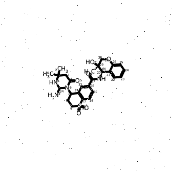 CC1(C)CC(=O)N(C2CCS(=O)(=O)c3ccc(C(=O)N[C@@H]4c5ccccc5OC[C@@]4(C)O)cc32)C(N)N1